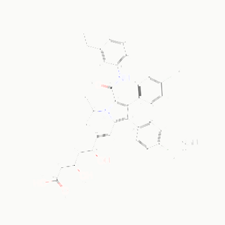 CCc1cccc(NC(=O)c2c(-c3ccc(F)cc3)c(-c3ccc(F)cc3)c(/C=C/[C@@H](O)C[C@@H](O)CC(=O)O)n2C(C)C)c1.[NaH]